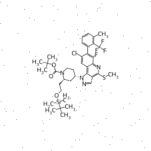 CSc1nc2c(F)c(-c3cccc(C)c3C(F)(F)F)c(Cl)cc2c2c1cnn2[C@H]1CCN(C(=O)OC(C)(C)C)[C@H](CCO[Si](C)(C)C(C)(C)C)C1